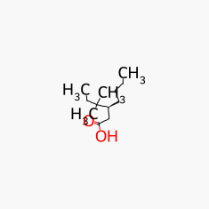 CCCC[C@@H](CC(=O)O)C(C)(C)CC